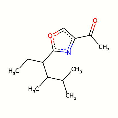 CCC(c1nc(C(C)=O)co1)C(C)C(C)C